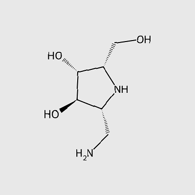 NC[C@H]1N[C@@H](CO)[C@@H](O)[C@@H]1O